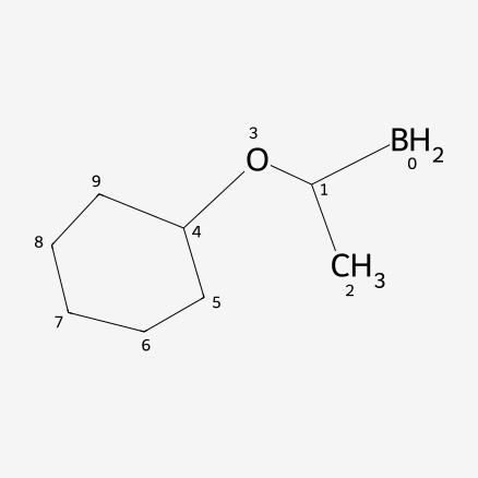 BC(C)OC1CCCCC1